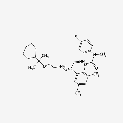 CN(C(=O)Oc1c(/C(C=N)=C/NCCOC(C)(C)C2CCCCC2)cc(C(F)(F)F)cc1C(F)(F)F)c1ccc(F)cc1